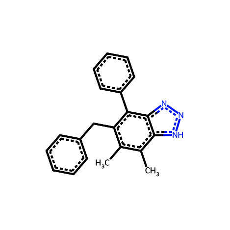 Cc1c(Cc2ccccc2)c(-c2ccccc2)c2nn[nH]c2c1C